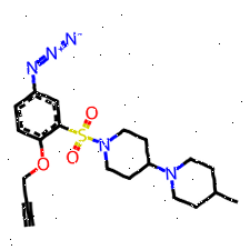 C#CCOc1ccc(N=[N+]=[N-])cc1S(=O)(=O)N1CCC(N2CCC(C)CC2)CC1